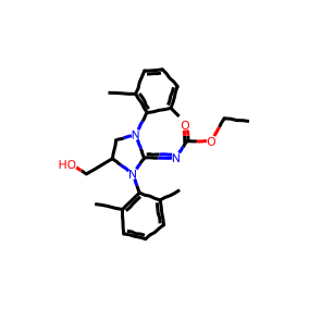 CCOC(=O)N=C1N(c2c(C)cccc2C)CC(CO)N1c1c(C)cccc1C